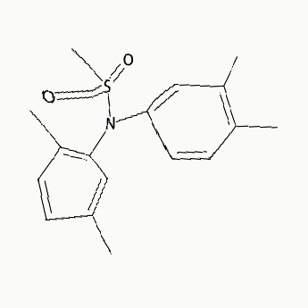 Cc1ccc(C)c(N(c2ccc(C)c(C)c2)S(C)(=O)=O)c1